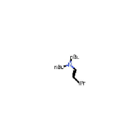 CCCCN(C=CC(C)C)CCCC